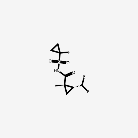 C[C@]1(C(=O)NS(=O)(=O)C2(F)CC2)C[C@H]1C(F)F